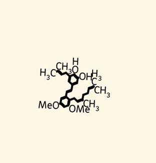 COc1cc(C=Cc2cc(O)c(O)c(CC=C(C)C)c2)c(CC=C(C)CCC=C(C)C)c(OC)c1